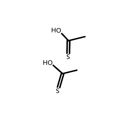 CC(O)=S.CC(O)=S